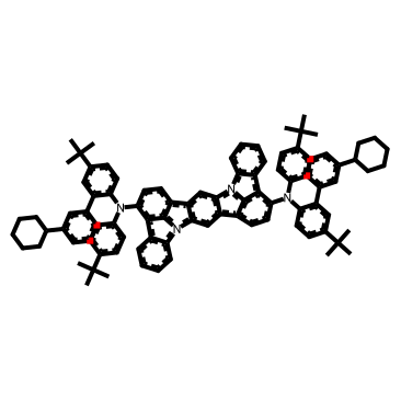 CC(C)(C)c1ccc(N(c2ccc(C(C)(C)C)cc2-c2cccc(C3CCCCC3)c2)c2ccc3c4cc5c(cc4n4c6ccccc6c2c34)c2ccc(N(c3ccc(C(C)(C)C)cc3)c3ccc(C(C)(C)C)cc3-c3cccc(C4CCCCC4)c3)c3c4ccccc4n5c23)cc1